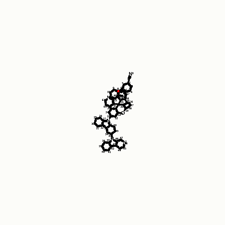 N#Cc1ccc2c(c1)c1ccccc1n2-c1cccc2c1C1(c3ccc(-n4c5ccccc5c5cc(-n6c7ccccc7c7ccncc76)ccc54)cc3O2)c2cccnc2-c2ncccc21